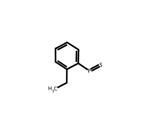 CCc1ccccc1P=S